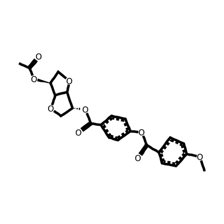 COc1ccc(C(=O)Oc2ccc(C(=O)O[C@@H]3COC4C3OC[C@@H]4OC(C)=O)cc2)cc1